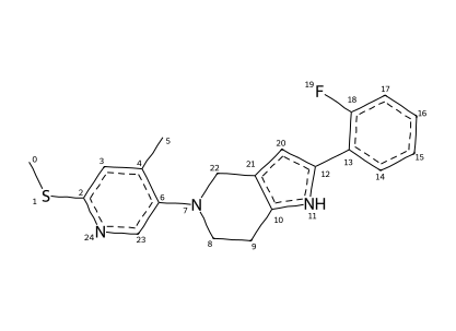 CSc1cc(C)c(N2CCc3[nH]c(-c4ccccc4F)cc3C2)cn1